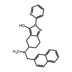 CN(Cc1ccc2ccccc2c1)C1CCc2nn(-c3ccccn3)c(O)c2C1